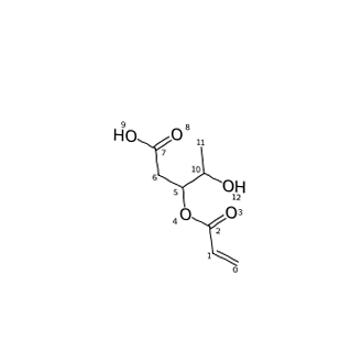 C=CC(=O)OC(CC(=O)O)C(C)O